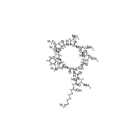 CCCCCCC[C@@H](O)CC(=O)NN(CCN)C(=O)N[C@H]1CCNC(=O)[C@H](CC(C)C)NC(=O)[C@H](CCN)NC(=O)[C@H](CCN)NC(=O)[C@H](CC(C)C)NC(=O)[C@@H](Cc2ccccc2)NC(=O)[C@H](CCN)NC1=O